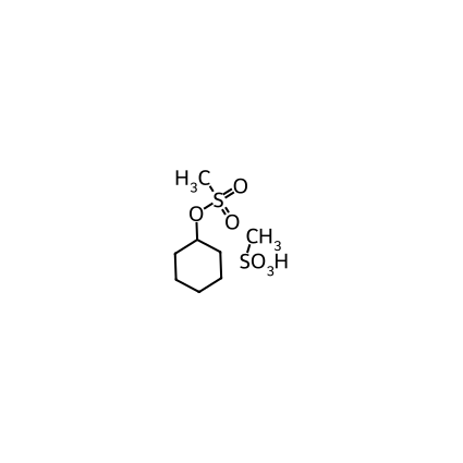 CS(=O)(=O)O.CS(=O)(=O)OC1CCCCC1